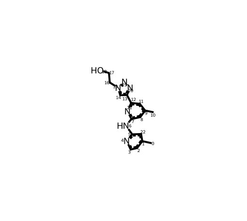 Cc1ccnc(Nc2cc(C)cc(-c3cn(CCO)nn3)n2)c1